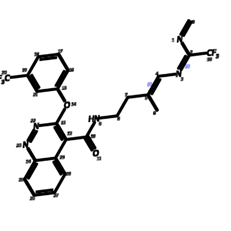 C=N/C(=N\C=C(/C)CCNC(=O)c1c(Oc2cccc(C(F)(F)F)c2)nnc2ccccc12)C(F)(F)F